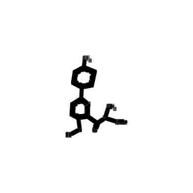 CCSc1ccc(-c2ccc(C(F)(F)F)cc2)nc1C(=O)N(C)OC